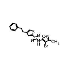 Cc1noc(NS(=O)(=O)c2cc(CCc3ccccc3)cs2)c1Br